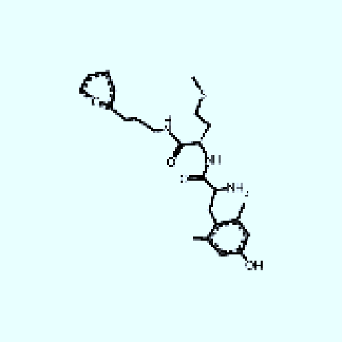 CSCC[C@@H](NC(=O)[C@@H](N)Cc1c(C)cc(O)cc1C)C(=O)NCCCc1ccccc1